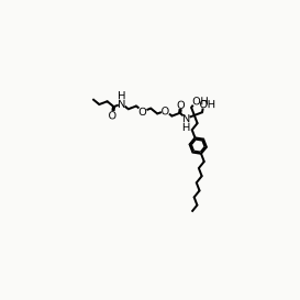 CCCCCCCCc1ccc(CCC(CO)(CO)NC(=O)COCCOCCNC(=O)CCC)cc1